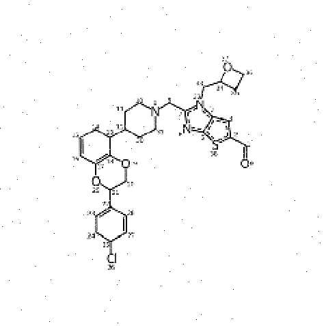 O=Cc1cc2c(nc(CN3CCC(C4CC=CC5=C4OCC(C4=CCC(Cl)C=C4)O5)CC3)n2CC2CCO2)s1